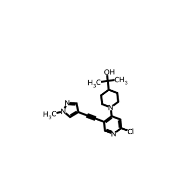 Cn1cc(C#Cc2cnc(Cl)cc2N2CCC(C(C)(C)O)CC2)cn1